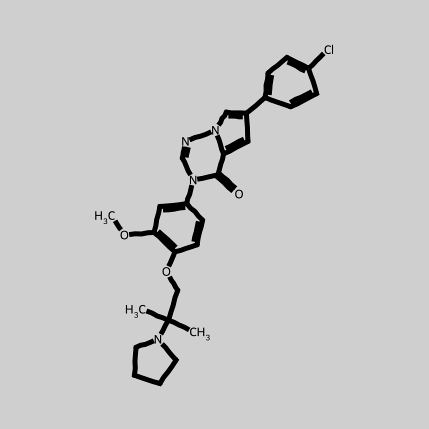 COc1cc(-n2cnn3cc(-c4ccc(Cl)cc4)cc3c2=O)ccc1OCC(C)(C)N1CCCC1